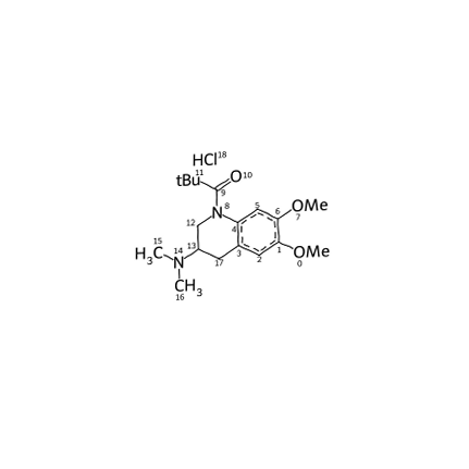 COc1cc2c(cc1OC)N(C(=O)C(C)(C)C)CC(N(C)C)C2.Cl